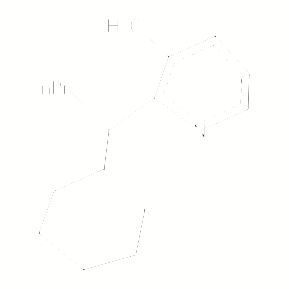 CCCC(c1ncccc1C)C1CCCCC1